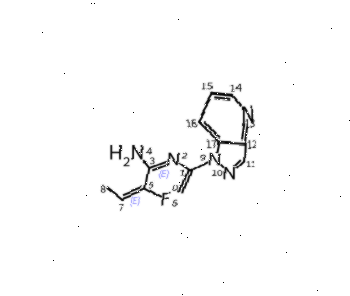 C=C(/N=C(N)\C(F)=C/C)n1ncc2ncccc21